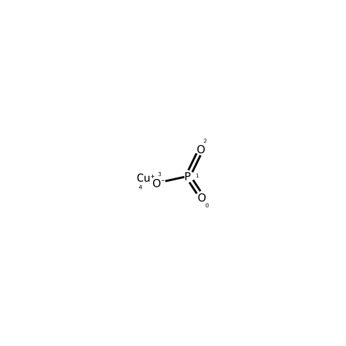 O=P(=O)[O-].[Cu+]